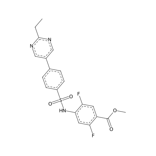 CCc1ncc(-c2ccc(S(=O)(=O)Nc3cc(F)c(C(=O)OC)cc3F)cc2)cn1